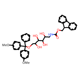 COc1ccc(C(OCC(O)C(O)C(O)C(O)CNC(=O)OCC2c3ccccc3-c3ccccc32)(c2ccccc2)c2ccc(OC)cc2)cc1